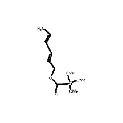 C/C=C/C=C/COC(CC)[Si](OC)(OC)OC